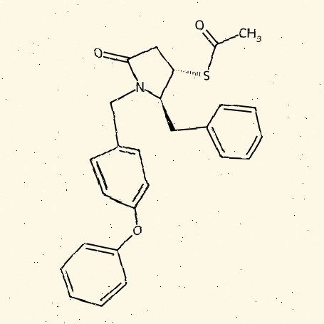 CC(=O)S[C@H]1CC(=O)N(Cc2ccc(Oc3ccccc3)cc2)[C@@H]1Cc1ccccc1